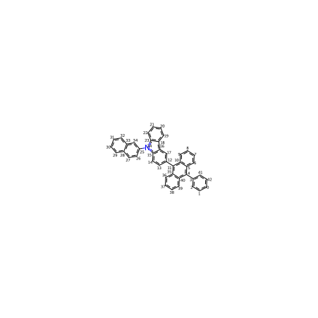 c1ccc(-c2c3ccccc3c(-c3ccc4c(c3)c3ccccc3n4-c3ccc4ccccc4c3)c3ccccc23)cc1